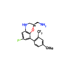 COc1ccc(-c2cc(F)cc3c2O[C@H](CN)CN3)c(C(F)(F)F)c1